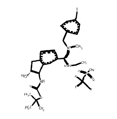 CNC(c1ccc2c(c1)C(NC(=O)OC(C)(C)C)[C@H](O)C2)=[N+](C)Cc1ccc(F)cc1.O=S(=O)(O)C(F)(F)F